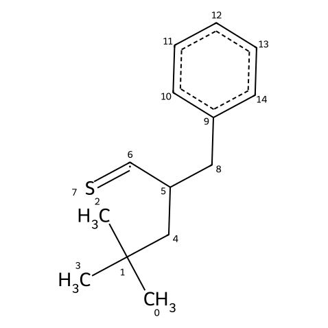 CC(C)(C)CC([C]=S)Cc1ccccc1